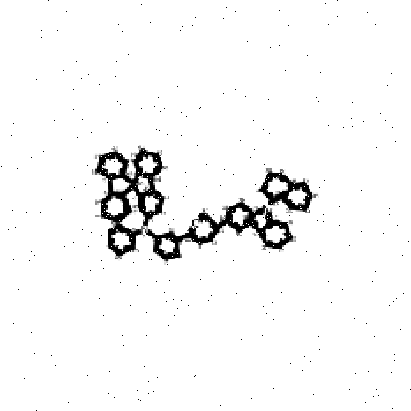 c1ccc(N(c2cccc(-c3ccc(-c4ccc5c(c4)c4ccccc4n5-c4cccc5ccccc45)cc3)c2)c2ccc3c(c2)C2(c4ccccc4-c4ccccc42)c2ccccc2-3)cc1